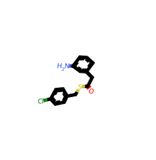 Nc1cccc(CC(=O)SCc2ccc(Cl)cc2)c1